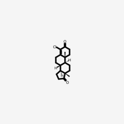 C[C@]12CCC(=O)C(Cl)=C1CC[C@@H]1[C@@H]2CC[C@]2(C)C(=O)CC[C@@H]12